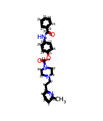 Cc1cccc(CCN2CCN(C(=O)Oc3ccc(NC(=O)c4ccccc4)cc3)CC2)n1